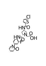 O=C(O)CN1CC(NC(=O)c2ccc(Cl)s2)C[C@H]1C(=O)Nc1ccc(-n2ccccc2=O)cc1F